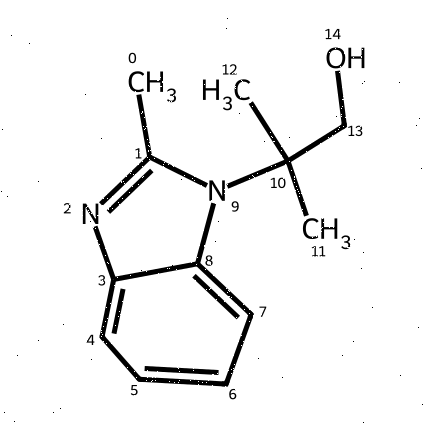 Cc1nc2ccccc2n1C(C)(C)CO